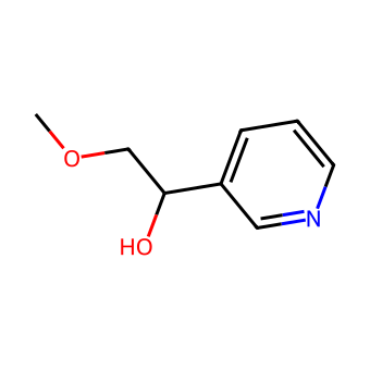 COCC(O)c1cccnc1